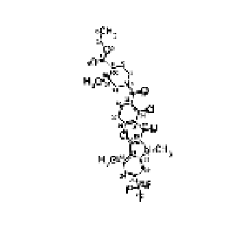 CCOC(=O)[C@@H]1CCN(C(=O)c2ccc(Cl)c(C(=O)c3cc4c(C)cc(C(F)(F)F)cc4n3C)c2Cl)C[C@@H]1C